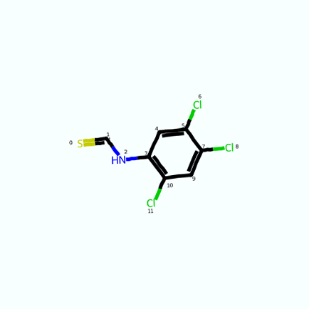 S=[C]Nc1cc(Cl)c(Cl)cc1Cl